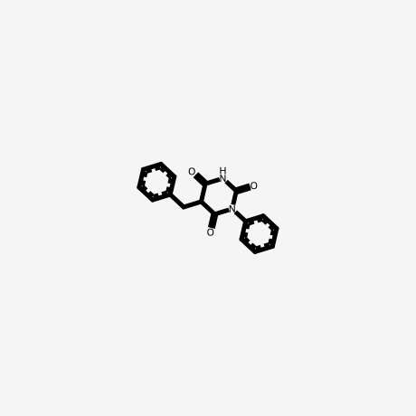 O=C1NC(=O)N(c2ccccc2)C(=O)C1Cc1ccccc1